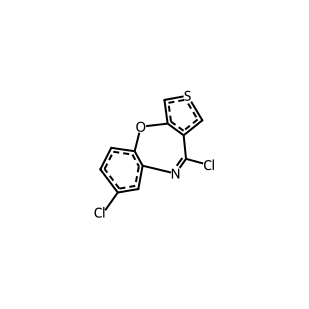 ClC1=Nc2cc(Cl)ccc2Oc2cscc21